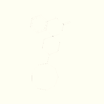 O=C1Nc2ccccc2C2(CCN(C3CCCCCCCC3)CC2)O1